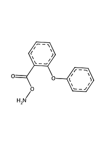 NOC(=O)c1ccccc1Oc1ccccc1